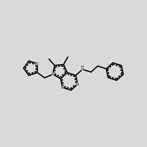 Cc1c(C)n(Cc2ccco2)c2ncnc(NCCc3ccccc3)c12